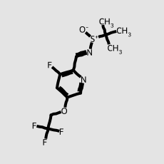 CC(C)(C)[S+]([O-])N=Cc1ncc(OCC(F)(F)F)cc1F